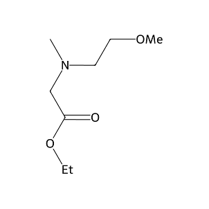 CCOC(=O)CN(C)CCOC